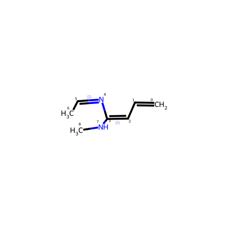 C=C/C=C(\N=C/C)NC